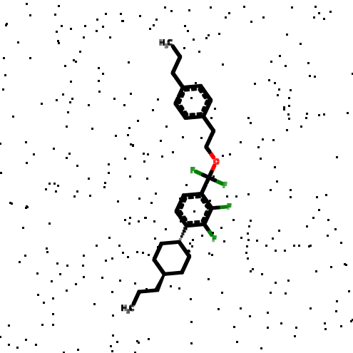 CCCc1ccc(CCOC(F)(F)c2ccc([C@H]3CC[C@H](CCC)CC3)c(F)c2F)cc1